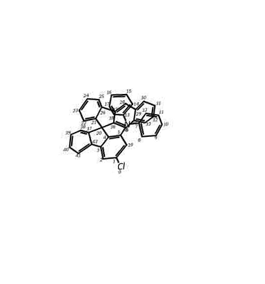 Clc1cc2c(c(N(c3ccccc3)c3ccccc3)c1)C1(c3ccccc3-c3cc4ccccc4cc31)c1ccccc1-2